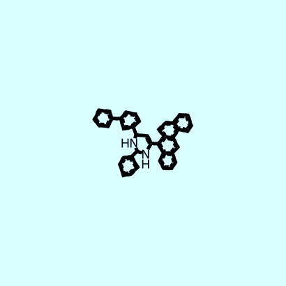 C1=C(c2c3ccccc3cc3c2ccc2ccccc23)NC(c2ccccc2)NC1c1cccc(-c2ccccc2)c1